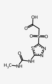 CNC(=O)Nc1nnc(S(=O)(=O)CC(=O)O)s1